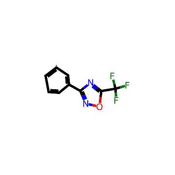 FC(F)(F)c1nc(-c2c[c]ccc2)no1